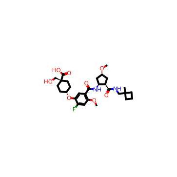 COc1cc(F)c(O[C@H]2CC[C@@](CO)(C(=O)O)CC2)cc1C(=O)N[C@H]1C[C@H](OC)C[C@H]1C(=O)NCC1(C)CCC1